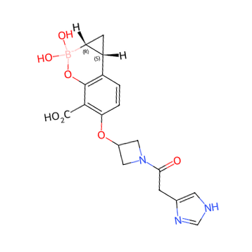 O=C(O)c1c(OC2CN(C(=O)Cc3c[nH]cn3)C2)ccc2c1O[B-](O)(O)[C@@H]1C[C@H]21